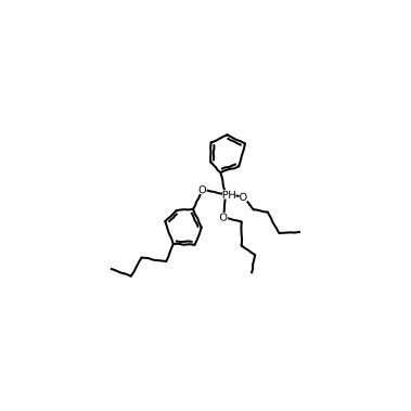 CCCCO[PH](OCCCC)(Oc1ccc(CCCC)cc1)c1ccccc1